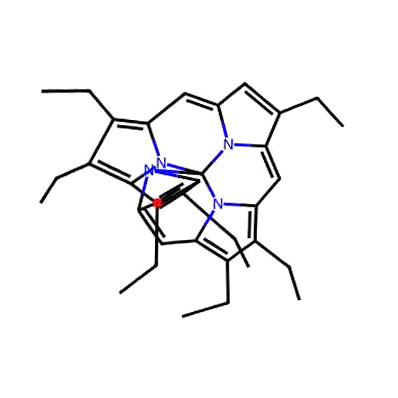 CCc1c(CC)c2n3c1C=c1cc(CC)c4n1C31n3c(c(CC)c(CC)c3C=c3c(CC)c(CC)c(n31)=C2)C=4